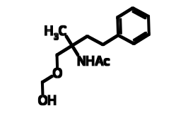 CC(=O)NC(C)(CCc1ccccc1)COCO